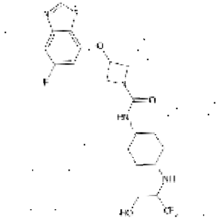 O=C(N[C@H]1CC[C@@H](NC(CO)C(F)(F)F)CC1)N1CC(Oc2cc(F)cc3ncsc23)C1